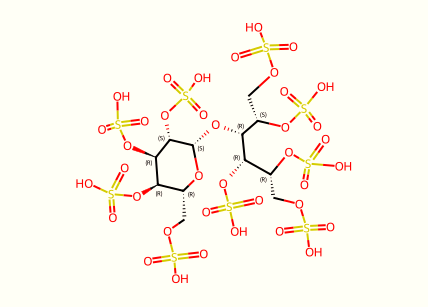 O=S(=O)(O)OC[C@H](OS(=O)(=O)O)[C@@H](O[C@@H]1O[C@H](COS(=O)(=O)O)[C@@H](OS(=O)(=O)O)[C@@H](OS(=O)(=O)O)[C@@H]1OS(=O)(=O)O)[C@@H](OS(=O)(=O)O)[C@@H](COS(=O)(=O)O)OS(=O)(=O)O